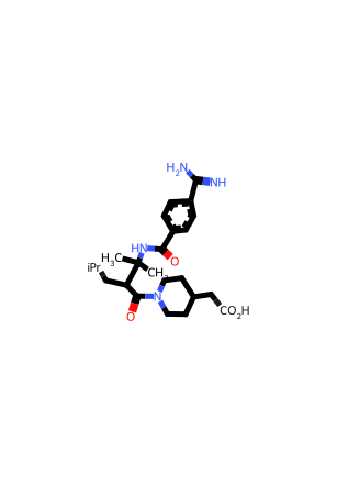 CC(C)CC(C(=O)N1CCC(CC(=O)O)CC1)C(C)(C)NC(=O)c1ccc(C(=N)N)cc1